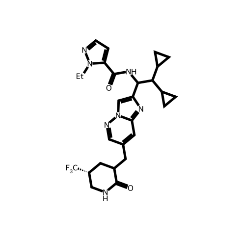 CCn1nccc1C(=O)NC(c1cn2ncc(CC3C[C@@H](C(F)(F)F)CNC3=O)cc2n1)C(C1CC1)C1CC1